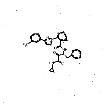 O=C(NC1CC1)C(=O)[C@H](Cc1ccccc1)NC(=O)c1cccnc1-n1ccc(-c2cccc(C(F)(F)F)c2)n1